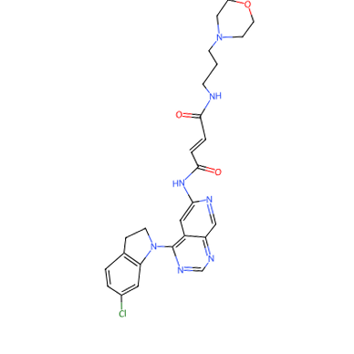 O=C(C=CC(=O)Nc1cc2c(N3CCc4ccc(Cl)cc43)ncnc2cn1)NCCCN1CCOCC1